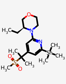 CC[C@H]1COCCN1c1cc(C(C)(C)S(C)(=O)=O)c[c]([Sn]([CH3])([CH3])[CH3])n1